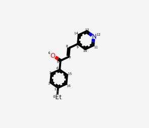 CCc1ccc(C(=O)/C=C/c2ccncc2)cc1